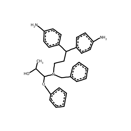 CC(O)C(Oc1ccccc1)N(CCC(c1ccc(N)cc1)c1ccc(N)cc1)Cc1ccccc1